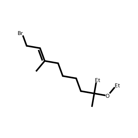 CCOC(C)(CC)CCCC/C(C)=C/CBr